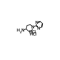 Cl.Cl.NC1CCN(c2ncccn2)CC1